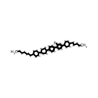 CCCCCCCC1CCC(C2CCC(c3ccc(-c4ccc(C5CCC(CCCCC)CC5)cc4F)cc3)CC2)CC1